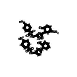 CCCc1ccc(S(=O)(=O)Nc2nc(-c3cc([N+](=O)[O-])ccc3Cl)ns2)cc1.CCCc1ccc(S(=O)(=O)Nc2nc(-c3ccccc3Cl)ns2)cc1